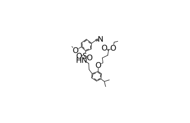 CCOC(=O)CCCOc1cc(C(C)C)ccc1CCNS(=O)(=O)c1cc(C#N)ccc1OC